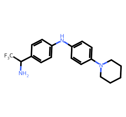 NC(c1ccc(Nc2ccc(N3CCCCC3)cc2)cc1)C(F)(F)F